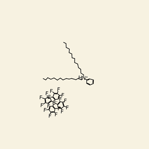 CCCCCCCCCCCCCC[NH+](CCCCCCCCCCCCCC)c1ccccc1.Fc1cc([B-](c2cc(F)c(F)c(F)c2F)(c2cc(F)c(F)c(F)c2F)c2cc(F)c(F)c(F)c2F)c(F)c(F)c1F